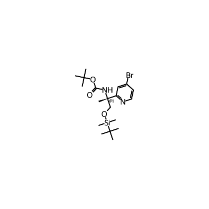 CC(C)(C)OC(=O)N[C@@](C)(CO[Si](C)(C)C(C)(C)C)c1cc(Br)ccn1